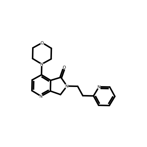 O=C1c2c(N3CCOCC3)ccnc2CN1CCc1ccccn1